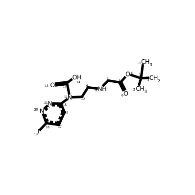 CC(C)(C)OC(=O)CNCCN(C(=O)O)c1ccc(I)nn1